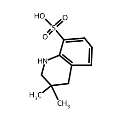 CC1(C)CNc2c(cccc2S(=O)(=O)O)C1